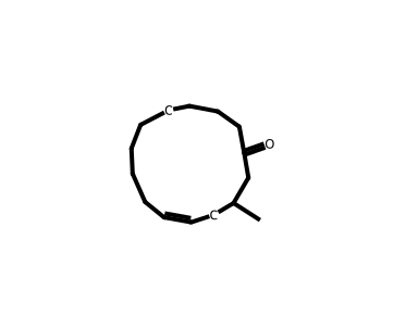 CC1CC=CCCCCCCCCC(=O)C1